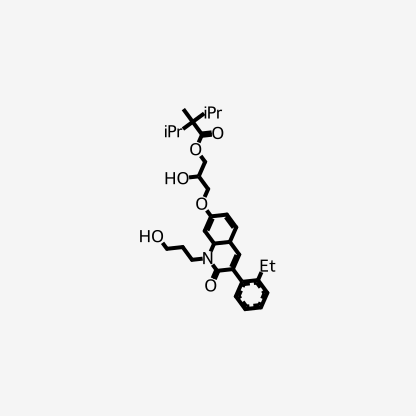 CCc1ccccc1C1=CC2C=CC(OCC(O)COC(=O)C(C)(C(C)C)C(C)C)=CC2N(CCCO)C1=O